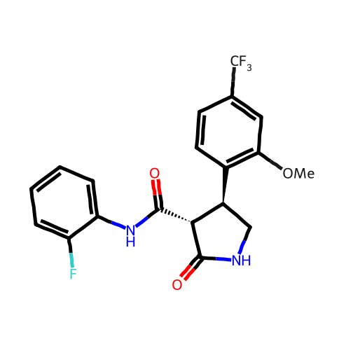 COc1cc(C(F)(F)F)ccc1[C@H]1CNC(=O)[C@@H]1C(=O)Nc1ccccc1F